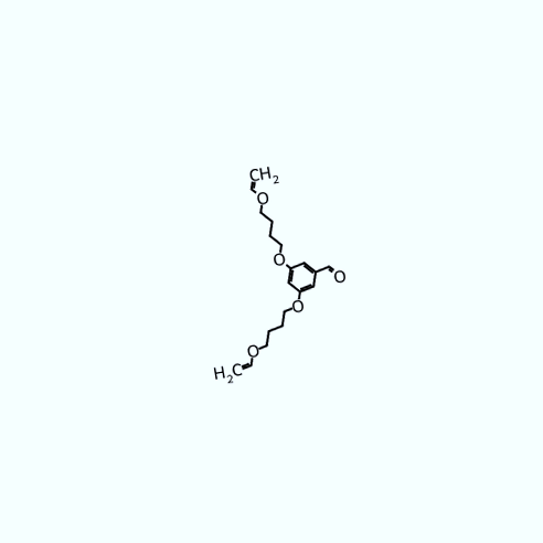 C=COCCCCOc1cc(C=O)cc(OCCCCOC=C)c1